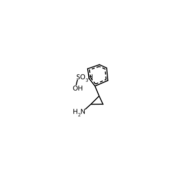 NC1CC1c1ccccc1.O=S(=O)(O)O